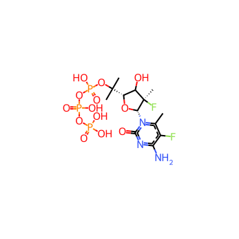 Cc1c(F)c(N)nc(=O)n1[C@@H]1O[C@H](C(C)(C)OP(=O)(O)OP(=O)(O)OP(=O)(O)O)C(O)[C@@]1(C)F